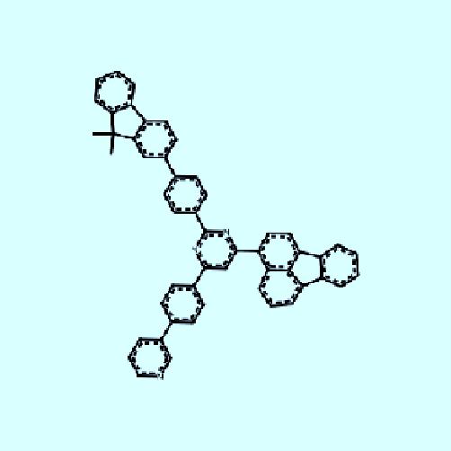 CC1(C)c2ccccc2-c2ccc(-c3ccc(-c4nc(-c5ccc(-c6cccnc6)cc5)cc(-c5ccc6c7c(cccc57)-c5ccccc5-6)n4)cc3)cc21